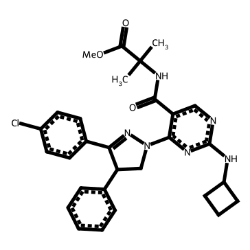 COC(=O)C(C)(C)NC(=O)c1cnc(NC2CCC2)nc1N1CC(c2ccccc2)C(c2ccc(Cl)cc2)=N1